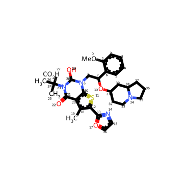 COc1ccccc1C(CN1c2sc(-c3ncco3)c(C)c2C(=O)N(C(C)(C)C(=O)O)C1O)OC1CCN2CCCC2C1